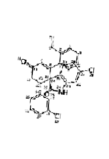 C=Cc1ccccc1C1=CC(=O)C[C@@H](c2cccc(Cl)c2)[C@]12C(=O)Nc1cc(Cl)ccc12